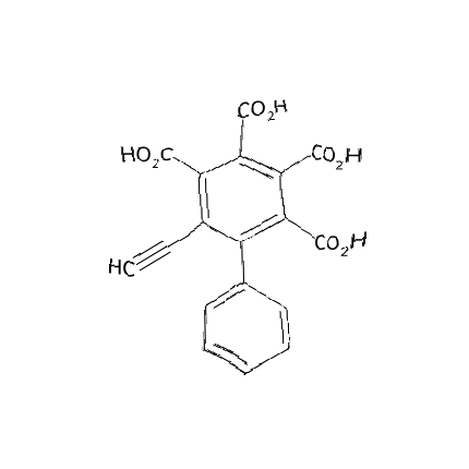 C#Cc1c(C(=O)O)c(C(=O)O)c(C(=O)O)c(C(=O)O)c1-c1ccccc1